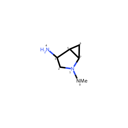 CNN1CC(N)C2CC21